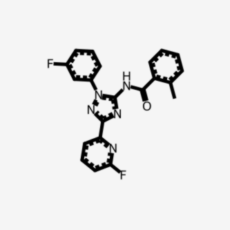 Cc1ccccc1C(=O)Nc1nc(-c2cccc(F)n2)nn1-c1cccc(F)c1